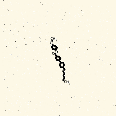 CCCCCCCC1CCC(c2ccc(C(=O)Oc3ccc(OCC)cc3)cc2)CC1